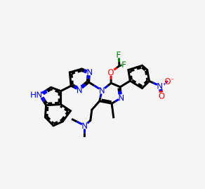 CC1=C(CCN(C)C)N(c2nccc(-c3c[nH]c4ccccc34)n2)C(OC(F)F)C(c2cccc([N+](=O)[O-])c2)=N1